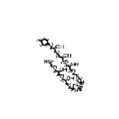 Cc1ccc(OCC(O)COCC(O)COCC(O)COCCOCC(F)(F)OC(F)(F)OC(F)(F)COCC(O)COCC(O)COCCO)cc1